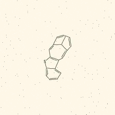 CC1C2=Cc3sc4ccccc4c3C=C1C=CC=C2